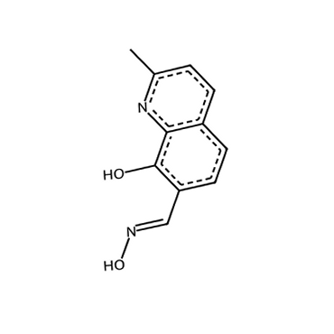 Cc1ccc2ccc(C=NO)c(O)c2n1